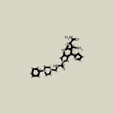 NC(=O)c1sc2nc3c(c(-c4cccs4)c2c1N)CN(C(=S)NCN1CCN(c2ccccc2)CC1)C3